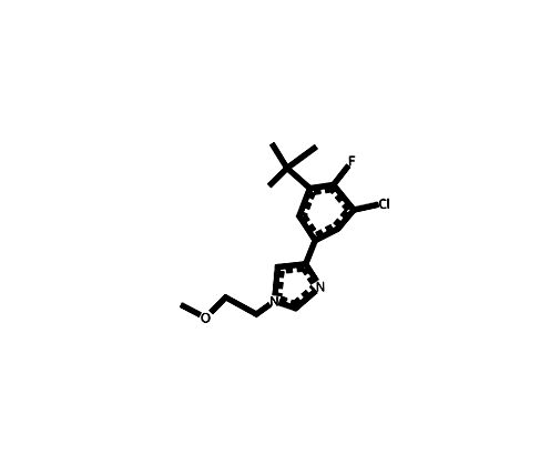 COCCn1cnc(-c2cc(Cl)c(F)c(C(C)(C)C)c2)c1